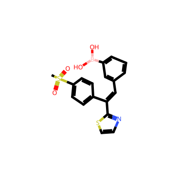 CS(=O)(=O)c1ccc(/C(=C\c2cccc(B(O)O)c2)c2nccs2)cc1